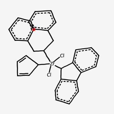 [Cl][Zr]([Cl])([CH]1C=CC=C1)([CH](Cc1ccccc1)Cc1ccccc1)[CH]1c2ccccc2-c2ccccc21